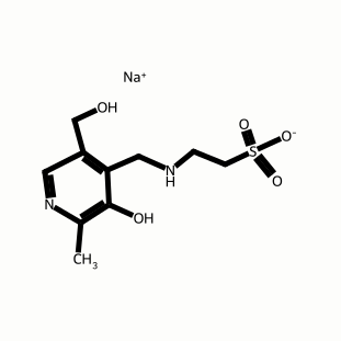 Cc1ncc(CO)c(CNCCS(=O)(=O)[O-])c1O.[Na+]